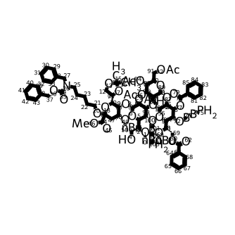 CCCCO[C@@H](CO)C1O[C@H](O[C@H]2C([C@H]3COC(C)(C)O3)O[C@@](OCCCCCN(Cc3ccccc3)C(=O)OCc3ccccc3)(C(=O)OC)C[C@H]2OCCCC)[C@H](OC(C)=O)C(O[C@H]2O[C@@H]([C@H](COC(=O)c3ccccc3)OCCCC)[C@@H](OB=BP)C(OC(=O)c3ccccc3)C2O[C@H]2OC(COC(C)=O)[C@@H](OC(C)=O)[C@@H](OC(C)=O)C2N)[C@@H]1OB=BP